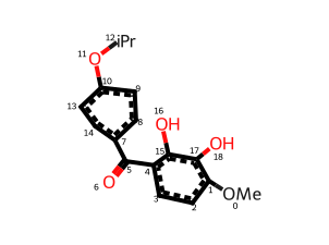 COc1ccc(C(=O)c2ccc(OC(C)C)cc2)c(O)c1O